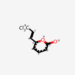 O=c1cccc(/C=C/C(Cl)(Cl)Cl)o1